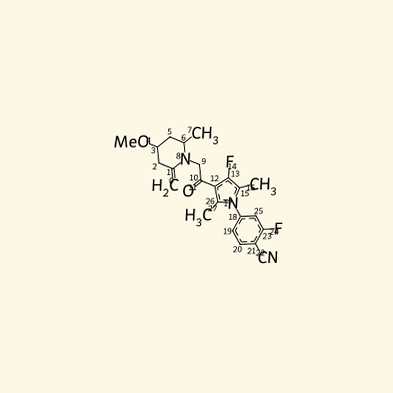 C=C1CC(OC)CC(C)N1CC(=O)c1c(F)c(C)n(-c2ccc(C#N)c(F)c2)c1C